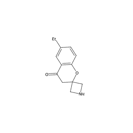 CCc1ccc2c(c1)C(=O)CC1(CNC1)O2